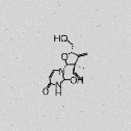 C=C[C@]1(C)C(=C)[C@@H](CO)O[C@H]1N1C=CC(=O)NC1O